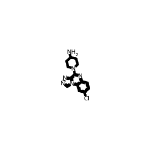 NC1CCN(c2nc3ccc(Cl)cc3n3cnnc23)CC1